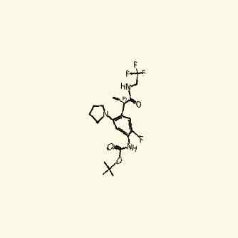 C[C@@H](C(=O)NCC(F)(F)F)c1cc(F)c(NC(=O)OC(C)(C)C)cc1N1CCCC1